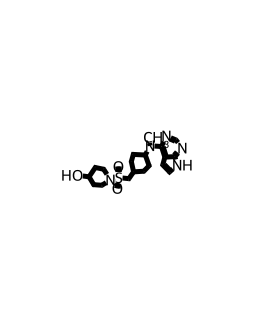 CN(c1ncnc2[nH]ccc12)C1CCC(CS(=O)(=O)N2CCC(O)CC2)CC1